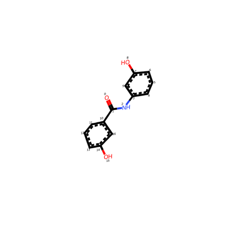 O=C(Nc1cccc(O)c1)c1cccc(O)c1